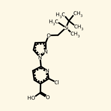 CC(C)(C)[Si](C)(C)COc1ccn(-c2ccc(C(=O)O)c(Cl)n2)n1